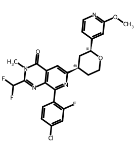 COc1cc([C@@H]2C[C@H](c3cc4c(=O)n(C)c(C(F)F)nc4c(-c4ccc(Cl)cc4F)n3)CCO2)ccn1